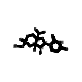 CC(C)OP1(=S)OC[C@@]2(C(F)F)O[C@@H](n3ccc(=O)[nH]c3=O)[C@H](F)[C@@H]2O1